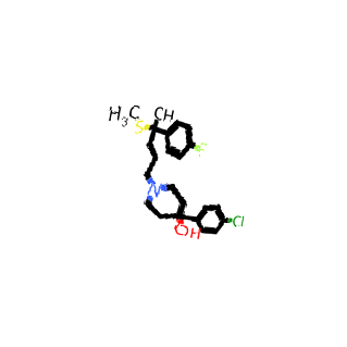 CSC(C)(CCCN1CCC(O)(c2ccc(Cl)cc2)CC1)c1ccc(F)cc1